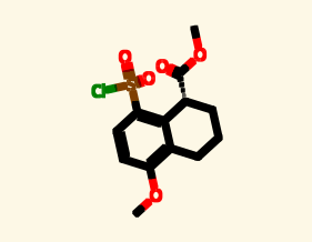 COC(=O)[C@@H]1CCCc2c(OC)ccc(S(=O)(=O)Cl)c21